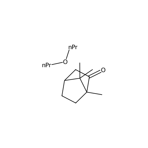 CC12CCC(CC1=O)C2(C)C.CCCOCCC